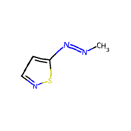 CN=Nc1ccns1